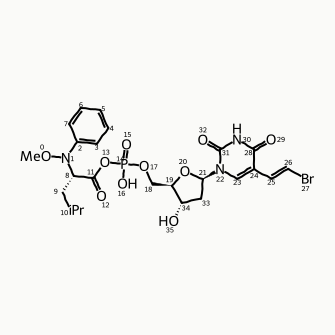 CON(c1ccccc1)[C@@H](CC(C)C)C(=O)OP(=O)(O)OC[C@H]1O[C@@H](n2cc(/C=C/Br)c(=O)[nH]c2=O)C[C@@H]1O